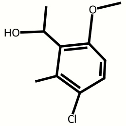 COc1ccc(Cl)c(C)c1C(C)O